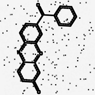 O=C(c1ccccc1)c1ccc2nc3ccc(=O)cc-3oc2c1